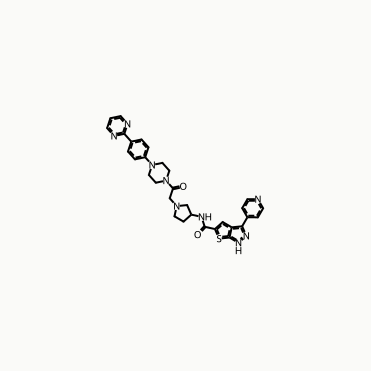 O=C(NC1CCN(CC(=O)N2CCN(c3ccc(-c4ncccn4)cc3)CC2)C1)c1cc2c(-c3ccncc3)n[nH]c2s1